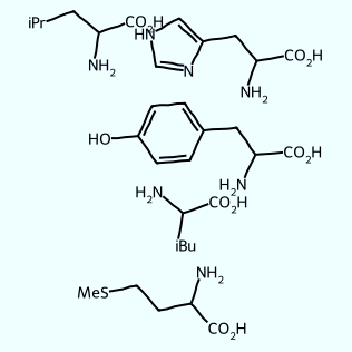 CC(C)CC(N)C(=O)O.CCC(C)C(N)C(=O)O.CSCCC(N)C(=O)O.NC(Cc1c[nH]cn1)C(=O)O.NC(Cc1ccc(O)cc1)C(=O)O